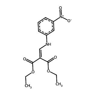 CCOC(=O)C(=CNc1cccc([N+](=O)[O-])c1)C(=O)OCC